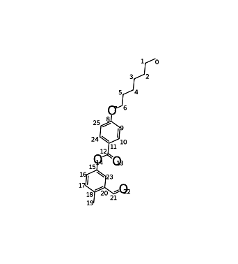 CCCCCCCOc1ccc(C(=O)Oc2ccc(C)c(C=O)c2)cc1